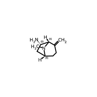 C=C1CC[C@@H]2C[C@H](N)[C@H]1N2C